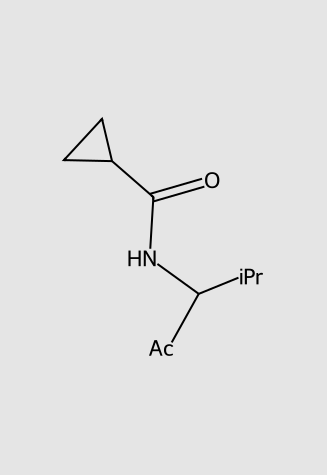 CC(=O)C(NC(=O)C1CC1)C(C)C